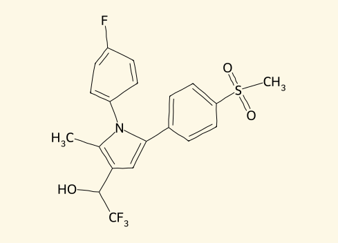 Cc1c(C(O)C(F)(F)F)cc(-c2ccc(S(C)(=O)=O)cc2)n1-c1ccc(F)cc1